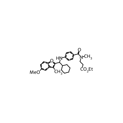 CCOC(=O)CCN(C)C(=O)c1ccc(NC(c2oc3ccc(OC)cc3c2C)C2CCCCC2)cc1